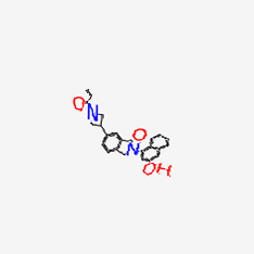 C=CC(=O)N1CC(c2ccc3c(c2)C(=O)N(c2cc(O)cc4ccccc24)C3)C1